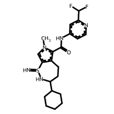 Cn1cc2c(c1C(=O)Nc1ccnc(C(F)F)c1)CCC(C1CCCCC1)NS2=N